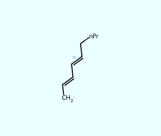 [CH2]C=C/C=C/CCCC